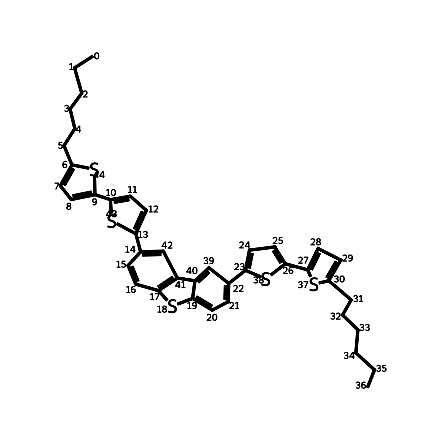 CCCCCCc1ccc(-c2ccc(-c3ccc4sc5ccc(-c6ccc(-c7ccc(CCCCCC)s7)s6)cc5c4c3)s2)s1